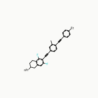 CCCC1CCc2c(cc(F)c(C#Cc3ccc(C#Cc4ccc(CC)cc4)c(C)c3)c2F)C1